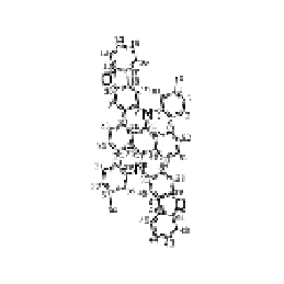 Cc1cccc(N(c2ccc3oc4ccccc4c3c2)c2c3ccccc3c(N(c3cccc(C)c3)c3ccc4oc5ccccc5c4c3)c3ccccc23)c1